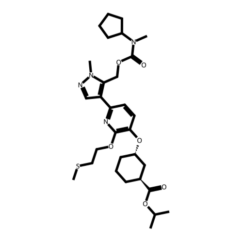 CSCCOc1nc(-c2cnn(C)c2COC(=O)N(C)C2CCCC2)ccc1O[C@H]1CCC[C@H](C(=O)OC(C)C)C1